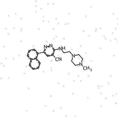 CN1CCN(CCNc2nnc(-c3cccc4ccccc34)cc2C#N)CC1